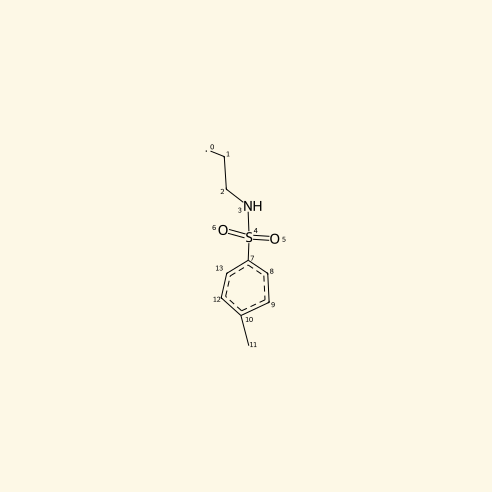 [CH2]CCNS(=O)(=O)c1ccc(C)cc1